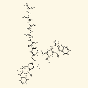 COc1cc2c(cc1OCc1cc(COc3cc4c(cc3OC)C(=O)N3c5ccccc5C[C@H]3C(O)N4)cc(NC(=O)CNC(=O)CNC(=O)CNC(=O)CCC(N)=O)c1)NC[C@@H]1Cc3ccccc3N1C2=O